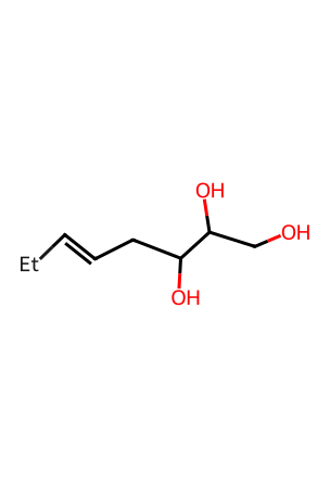 CCC=CCC(O)C(O)CO